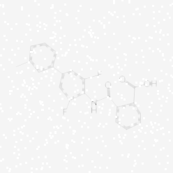 Cc1cccc(-c2cc(F)c(NC(=O)c3ccccc3C(=O)O)c(F)c2)c1